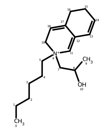 CCCCCC[N+]1(CC(C)O)C=C2C=CCCC2=CC1